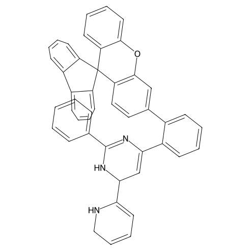 C1=CCNC(C2C=C(c3ccccc3-c3ccc4c(c3)Oc3ccccc3C43c4ccccc4-c4ccccc43)N=C(c3ccccc3)N2)=C1